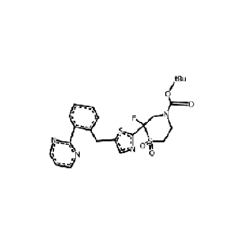 CC(C)(C)OC(=O)N1CCS(=O)(=O)C(F)(c2ncc(Cc3ccccc3-c3ncccn3)s2)C1